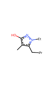 CCn1nc(O)c(C)c1CC(C)C